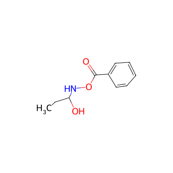 CCC(O)NOC(=O)c1ccccc1